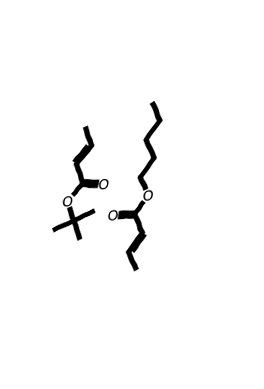 CC=CC(=O)OC(C)(C)C.CC=CC(=O)OCCCCC